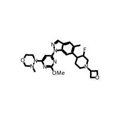 COc1nc(N2CCOCN2C)cc(-n2ncc3cc(C)c(C4CCN(C5COC5)CC4F)cc32)n1